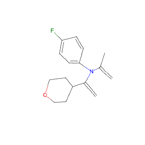 C=C(C)N(C(=C)C1CCOCC1)c1ccc(F)cc1